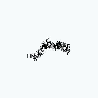 CCc1cc(Nc2nccn3c(-c4ccc(OC)c(F)c4F)cnc23)ccc1C(=O)NCC1CCN(CC2CCNC2)CC1